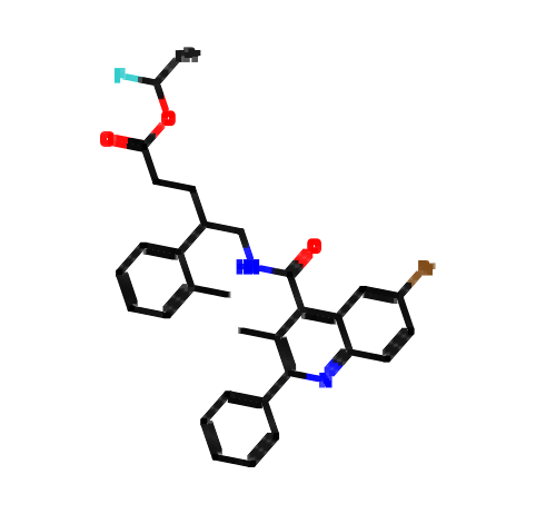 CCCC(F)OC(=O)CCC(CNC(=O)c1c(C)c(-c2ccccc2)nc2ccc(Br)cc12)c1ccccc1C